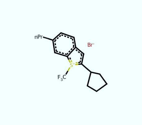 CCCc1ccc2cc(C3CCCC3)[s+](C(F)(F)F)c2c1.[Br-]